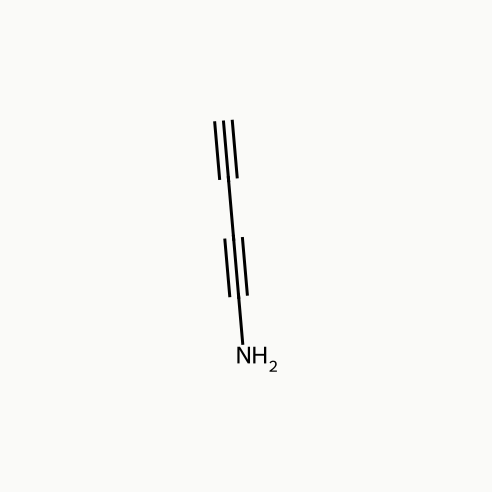 C#CC#CN